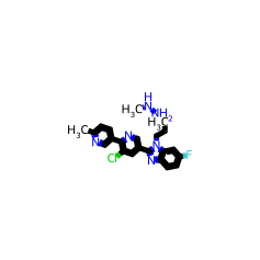 CCCn1c(-c2cnc(-c3ccc(C)nc3)c(Cl)c2)nc2ccc(F)cc21.CNN